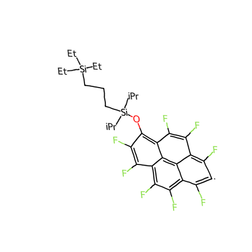 CC[Si](CC)(CC)CCC[Si](Oc1c(F)c(F)c2c(F)c(F)c3c(F)[c]c(F)c4c(F)c(F)c1c2c34)(C(C)C)C(C)C